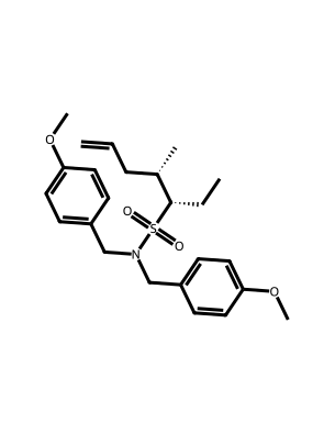 C=CC[C@H](C)[C@H](CC)S(=O)(=O)N(Cc1ccc(OC)cc1)Cc1ccc(OC)cc1